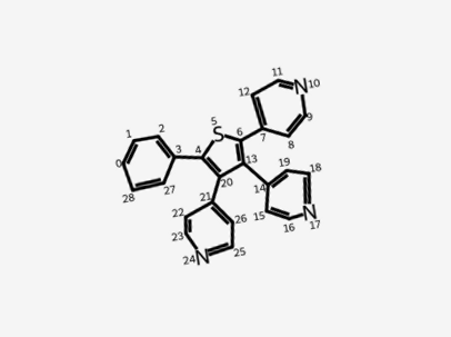 c1ccc(-c2sc(-c3ccncc3)c(-c3ccncc3)c2-c2ccncc2)cc1